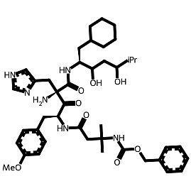 COc1ccc(C[C@H](NC(=O)CC(C)(C)NC(=O)OCc2ccccc2)C(=O)[C@](N)(Cc2c[nH]cn2)C(=O)N[C@@H](CC2CCCCC2)C(O)CC(O)C(C)C)cc1